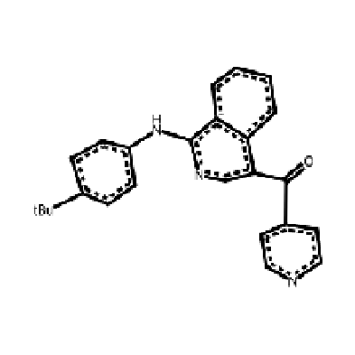 CC(C)(C)c1ccc(Nc2ncc(C(=O)c3ccncc3)c3ccccc23)cc1